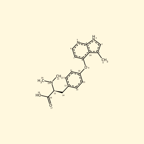 Cc1c[nH]c2nccc(Oc3ccc(C[C@@H](C(=O)O)N(C)C)cc3)c12